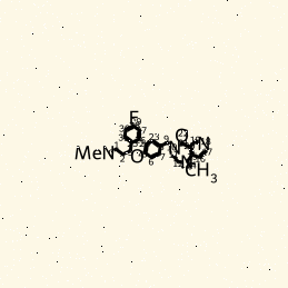 CNCCC(Oc1ccc(CN2CCN(C)c3ccncc3C2=O)cc1)c1ccc(F)cc1